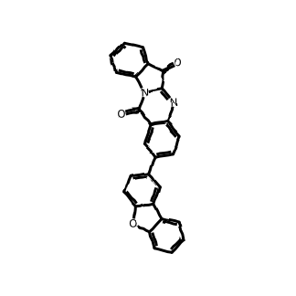 O=C1c2ccccc2-n2c1nc1ccc(-c3ccc4oc5ccccc5c4c3)cc1c2=O